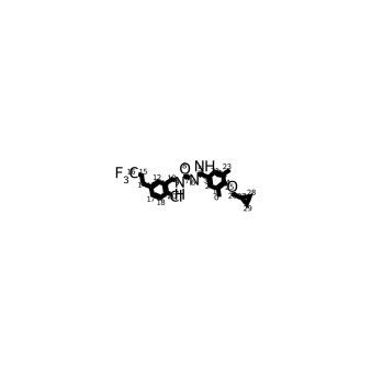 Cc1cc(/C(N)=N/C(=O)NCc2cc(CCC(F)(F)F)ccc2Cl)cc(C)c1OCC1CC1